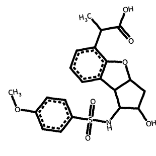 COc1ccc(S(=O)(=O)NC2C(O)CC3Oc4c(C(C)C(=O)O)cccc4C32)cc1